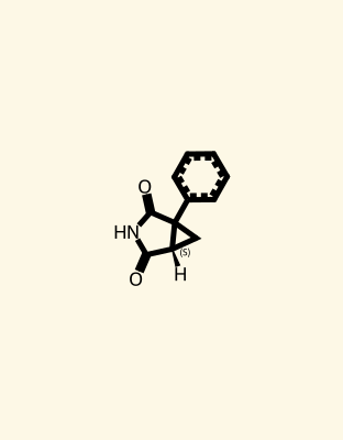 O=C1NC(=O)C2(c3ccccc3)C[C@H]12